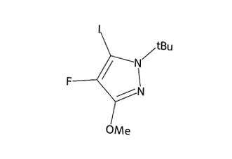 COc1nn(C(C)(C)C)c(I)c1F